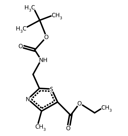 CCOC(=O)c1sc(CNC(=O)OC(C)(C)C)nc1C